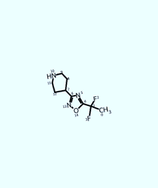 CC(F)(F)c1nc(C2CCNCC2)no1